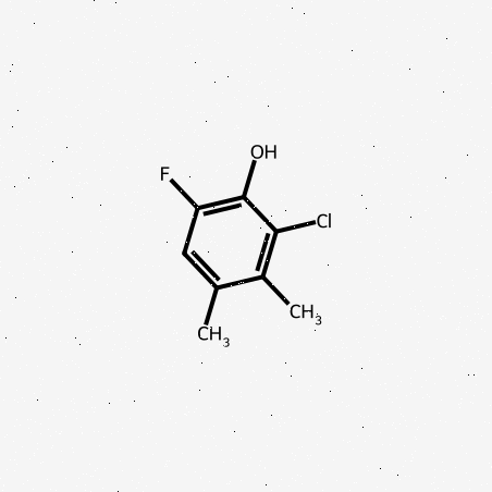 Cc1cc(F)c(O)c(Cl)c1C